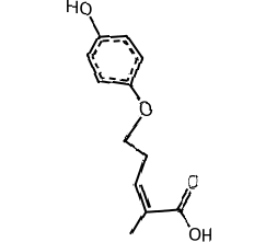 CC(=CCCOc1ccc(O)cc1)C(=O)O